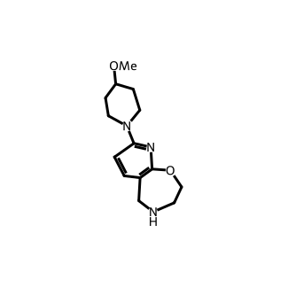 COC1CCN(c2ccc3c(n2)OCCNC3)CC1